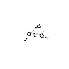 C=CC(=O)Nc1cccc(N(C(=O)OCc2ccccc2)c2ccnc(Nc3ccc(N(C)CCN(C)C)cc3OC)n2)c1